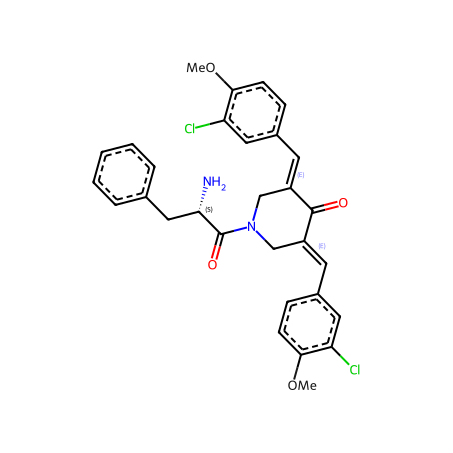 COc1ccc(/C=C2\CN(C(=O)[C@@H](N)Cc3ccccc3)C/C(=C\c3ccc(OC)c(Cl)c3)C2=O)cc1Cl